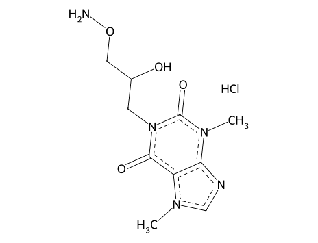 Cl.Cn1cnc2c1c(=O)n(CC(O)CON)c(=O)n2C